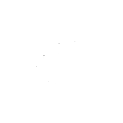 CCCC1(F)C(F)=C(F)C(F)=C(F)C1(F)C(=O)O